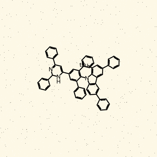 CC(C)(C)c1cc(-c2ccccc2)cc2c3cc(-c4ccccc4)ccc3n(-c3c(-c4ccccc4)cc(C4=CC(c5ccccc5)=NC(c5ccccc5)N4)cc3-c3ccccc3)c12